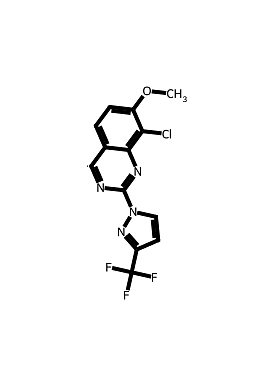 COc1ccc2[c]nc(-n3ccc(C(F)(F)F)n3)nc2c1Cl